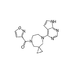 O=C(c1ccon1)N1CCN(c2ncnc3[nH]ccc23)CC2(CC2)C1